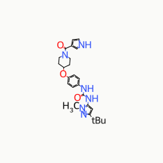 Cn1nc(C(C)(C)C)cc1NC(=O)Nc1ccc(OC2CCN(C(=O)c3cc[nH]c3)CC2)cc1